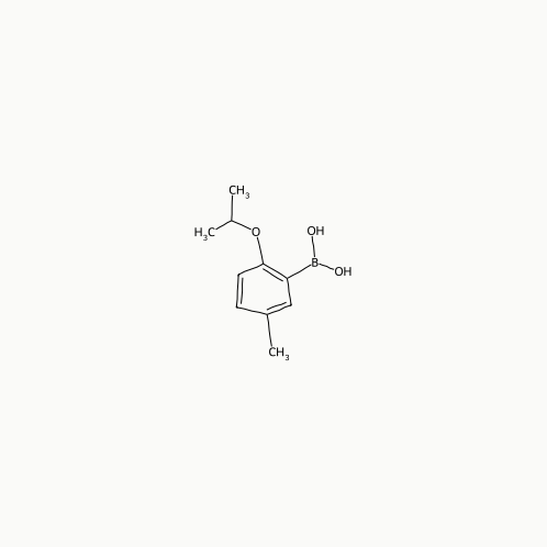 Cc1ccc(OC(C)C)c(B(O)O)c1